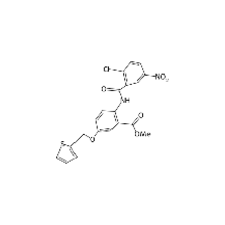 COC(=O)c1cc(OCc2cccs2)ccc1NC(=O)c1cc([N+](=O)[O-])ccc1Cl